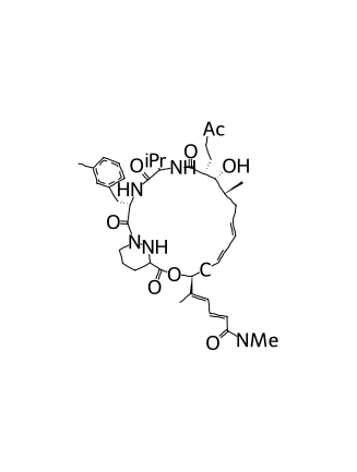 CNC(=O)/C=C/C=C(\C)[C@@H]1C/C=C/C=C/C[C@H](C)[C@@H](O)[C@@H](CCC(C)=O)C(=O)N[C@@H](C(C)C)C(=O)N[C@@H](Cc2cccc(C)c2)C(=O)N2CCCC(N2)C(=O)O1